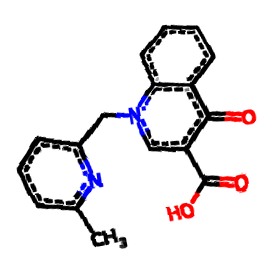 Cc1cccc(Cn2cc(C(=O)O)c(=O)c3ccccc32)n1